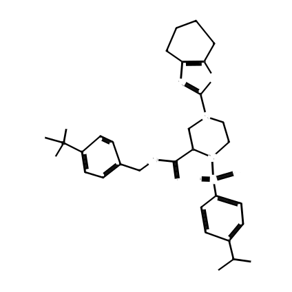 CC(C)c1ccc(S(=O)(=O)N2CCN(c3nc4c(s3)CCCC4)CC2C(=O)NCc2ccc(C(F)(F)F)cc2)cc1